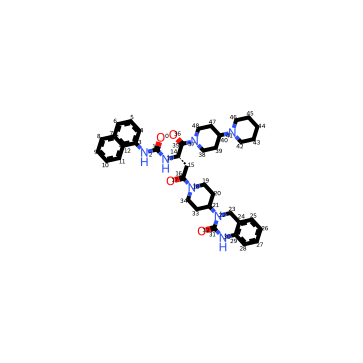 O=C(Nc1cccc2ccccc12)N[C@@H](CC(=O)N1CCC(N2Cc3ccccc3NC2=O)CC1)C(=O)N1CCC(N2CCCCC2)CC1